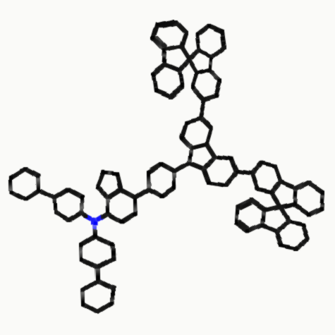 C1=CCC2C(=C1)C1CCCCC1C21C2CCCCC2C2CCC(C3CCC4C(C3)C3CC(C5CCC6C7CCCCC7C7(C8C=CC=CC8C8CCCCC87)C6C5)CCC3C4C3CCC(C4CCC(N(C5CCC(C6CCCCC6)CC5)C5CCC(C6CCCCC6)CC5)C5CCCC45)CC3)CC21